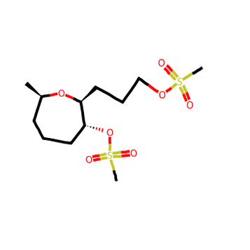 C[C@@H]1CCC[C@@H](OS(C)(=O)=O)[C@H](CCCOS(C)(=O)=O)O1